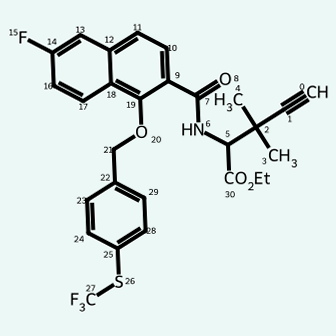 C#CC(C)(C)C(NC(=O)c1ccc2cc(F)ccc2c1OCc1ccc(SC(F)(F)F)cc1)C(=O)OCC